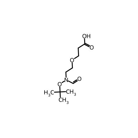 CC(C)(C)ON(C=O)CCOCCC(=O)O